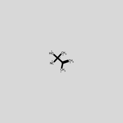 C=C(C)C(C)(O)C#N